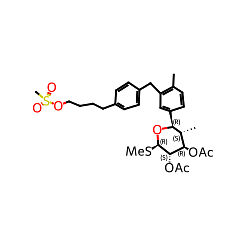 CS[C@H]1O[C@@H](c2ccc(C)c(Cc3ccc(CCCCOS(C)(=O)=O)cc3)c2)[C@H](C)[C@@H](OC(C)=O)[C@@H]1OC(C)=O